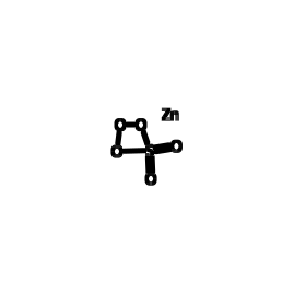 O=S1(=O)OOO1.[Zn]